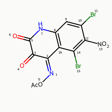 CC(=O)ON=C1C(=O)C(=O)Nc2cc(Br)c([N+](=O)[O-])c(Br)c21